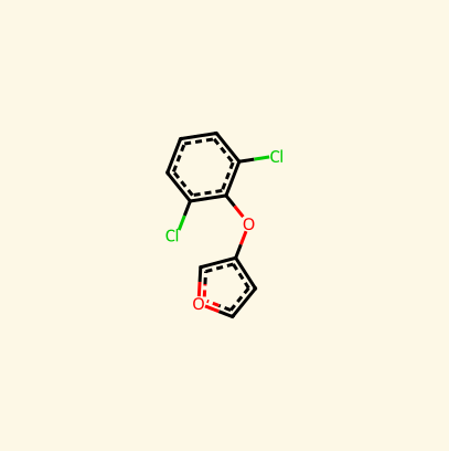 Clc1cccc(Cl)c1Oc1ccoc1